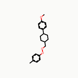 COc1ccc(C2CCC(COOc3ccc(C)cc3)CC2)cc1